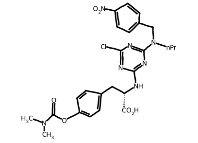 CCCN(Cc1ccc([N+](=O)[O-])cc1)c1nc(Cl)nc(N[C@@H](Cc2ccc(OC(=O)N(C)C)cc2)C(=O)O)n1